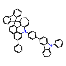 C1=C(N(c2ccc(-c3ccc4c(c3)c3ccccc3n4-c3ccccc3)cc2)c2cccc(-c3ccccc3)c2)C2=C(CCC1)C1(c3ccccc32)c2ccccc2-c2ccccc21